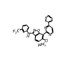 FC(F)(F)c1cccc(Nc2noc3c(-c4nccc(-c5cccnc5)n4)c(Cl)ccc23)c1.N